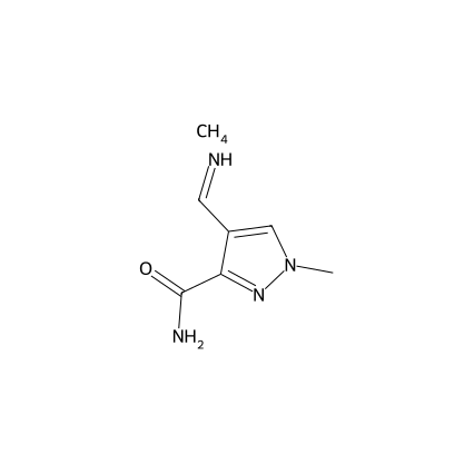 C.Cn1cc(C=N)c(C(N)=O)n1